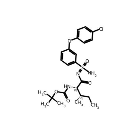 CC[C@H](C)[C@H](NC(=O)OC(C)(C)C)C(=O)N=S(N)(=O)c1cccc(Oc2ccc(Cl)cc2)c1